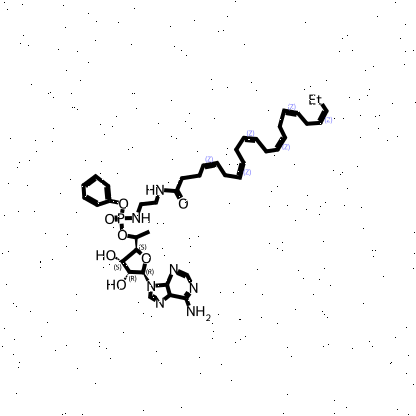 CC/C=C\C/C=C\C/C=C\C/C=C\C/C=C\C/C=C\CCC(=O)NCCNP(=O)(Oc1ccccc1)OC(C)[C@H]1O[C@@H](N2C=NC3C(N)=NC=NC32)[C@H](O)[C@@H]1O